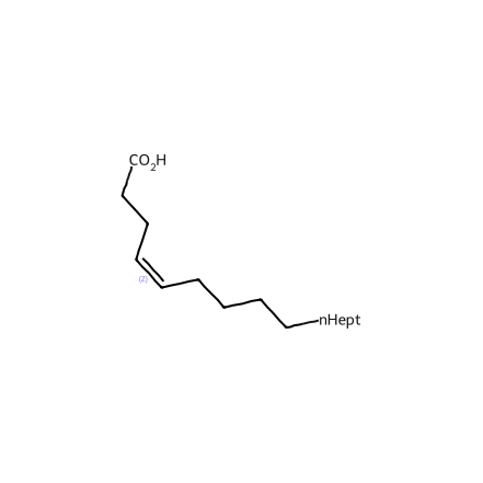 CCCCCCCCCCC/C=C\CCC(=O)O